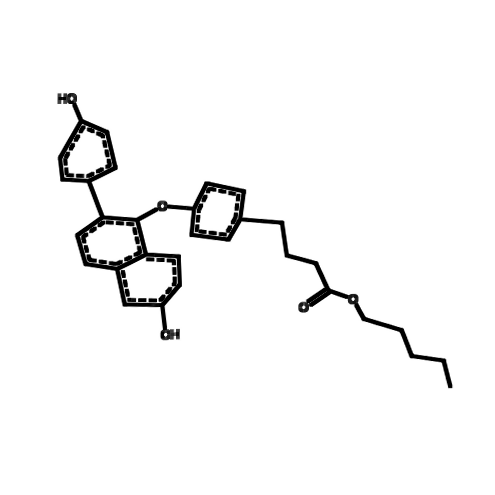 CCCCCOC(=O)CCCc1ccc(Oc2c(-c3ccc(O)cc3)ccc3cc(O)ccc23)cc1